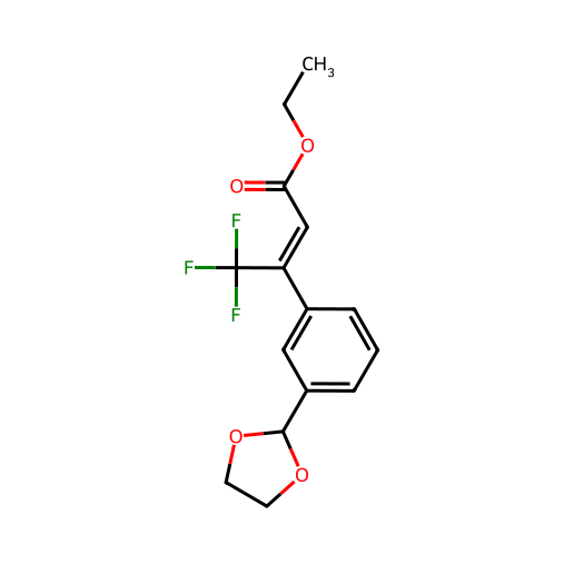 CCOC(=O)C=C(c1cccc(C2OCCO2)c1)C(F)(F)F